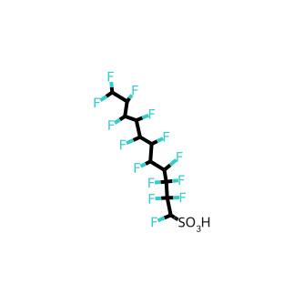 O=S(=O)(O)C(F)C(F)(F)C(F)(F)C(F)C(F)C(F)C(F)C(F)C(F)C(F)C(F)F